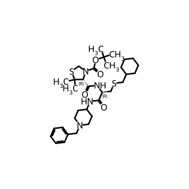 CC(C)(C)OC(=O)N1CSC(C)(C)[C@H]1C(=O)N[C@@H](CSCC1CCCCC1)C(=O)NC1CCN(Cc2ccccc2)CC1